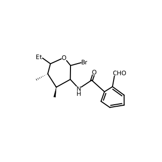 CCC1OC(Br)C(NC(=O)c2ccccc2C=O)[C@@H](C)[C@@H]1C